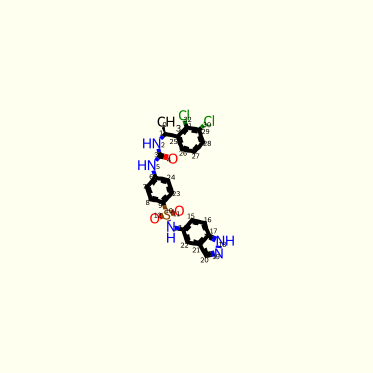 C[C@H](NC(=O)Nc1ccc(S(=O)(=O)Nc2ccc3[nH]ncc3c2)cc1)c1cccc(Cl)c1Cl